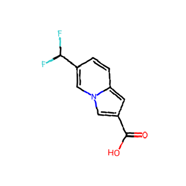 O=C(O)c1cc2ccc(C(F)F)cn2c1